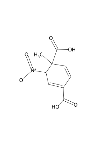 CC1(C(=O)O)C=CC(C(=O)O)=CC1[N+](=O)[O-]